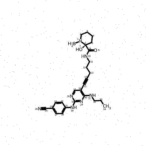 BN1CCCC[C@]1(O)C(=O)NCCCC#Cc1cnc(Nc2ccc(C#N)cc2)nc1NCCC